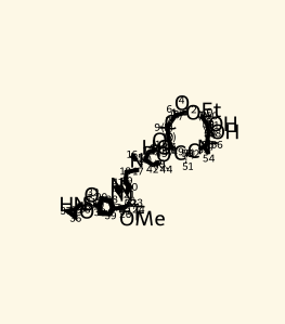 CC[C@H]1OC(=O)[C@H](C)C[C@H](C)[C@@H](O[C@H]2C[C@@H](N(C)CCc3cn([C@H](CF)[C@H](OC)c4ccc(S(=O)(=O)NC5CC5)cc4)nn3)C[C@@H](C)O2)[C@](C)(O)C[C@@H](C)CN(C)[C@H](C)[C@@H](O)[C@]1(C)O